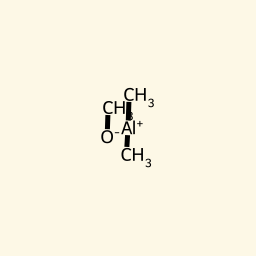 C[O-].[CH3][Al+][CH3]